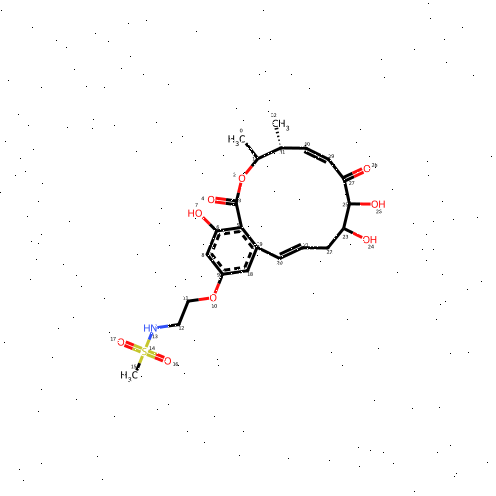 CC1OC(=O)c2c(O)cc(OCCNS(C)(=O)=O)cc2/C=C/CC(O)C(O)C(=O)/C=C\[C@H]1C